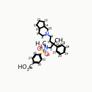 CN(CC(C)(CCN1CCC2CCCC2C1)c1ccccc1)S(=O)(=O)c1ccc(C(=O)O)cc1